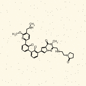 CNCc1ccc(-c2cccc(-c3cccc(-c4cc5c(=O)n(C)c(CNCCN6CCCC6=O)nn5c4)c3Cl)c2Cl)nc1OC